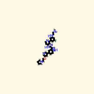 CN(C)CCNc1cc(F)cc(-c2nccc3[nH]c(-c4n[nH]c5ccc(-c6cncc(OCCN7CCCC7)c6)cc45)nc23)c1